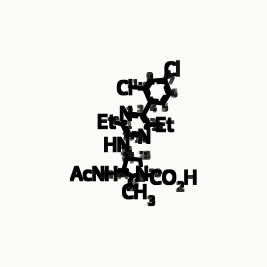 CCc1nc(-c2ccc(Cl)cc2Cl)c(CC)nc1N[C@@H]1CN(C(=O)O)C(C)[C@H]1NC(C)=O